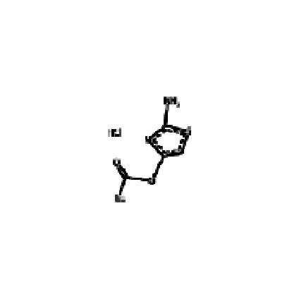 CCC(=O)Oc1csc(N)n1.Cl